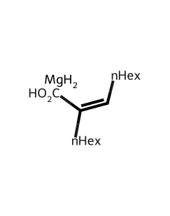 CCCCCCC=C(CCCCCC)C(=O)O.[MgH2]